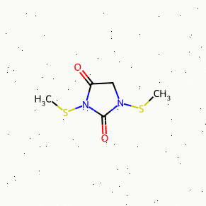 CSN1CC(=O)N(SC)C1=O